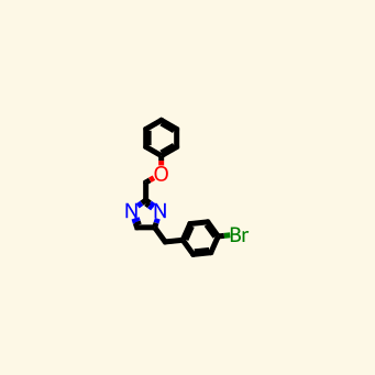 Brc1ccc(CC2C=NC(COc3ccccc3)=N2)cc1